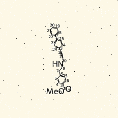 COC(=O)c1ccc(CCNCC#Cc2ccc(-c3ccccc3)cc2)cc1